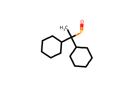 CC(P=O)(C1CCCCC1)C1CCCCC1